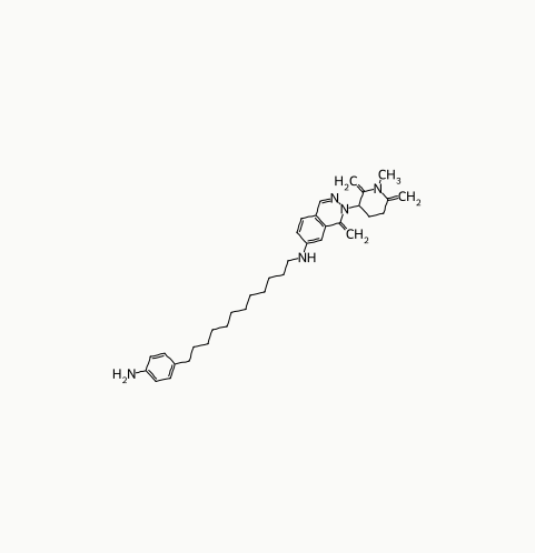 C=C1CCC(N2N=Cc3ccc(NCCCCCCCCCCCCc4ccc(N)cc4)cc3C2=C)C(=C)N1C